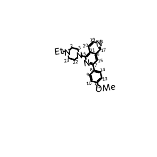 CCN1CCN(c2nc(-c3ccc(OC)cc3)cc3cnccc23)CC1